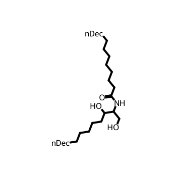 CCCCCCCCCCCCCCCCCC(=O)NC(CO)C(O)CCCCCCCCCCCCCCC